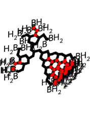 BC(B)CCC(CC(B)B)CC(CC(CC(B)B)CC(B)B)CC(CC(CC(CC(B)B)CC(B)B)CC(CC(B)B)CC(B)B)CC(CC(CC(CC(CC(B)B)CC(B)B)CC(CC(B)B)CC(B)B)CC(CC(CC(B)B)CC(B)B)CC(CC(B)B)CC(B)B)CC(CC(CC(CC(B)B)CC(B)B)CC(CC(B)B)CC(B)B)CC(CC(CC(B)B)CC(B)B)CC(CC(B)B)CC(B)B